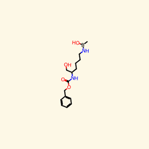 CB(O)NCCCCC(CO)NC(=O)OCc1ccccc1